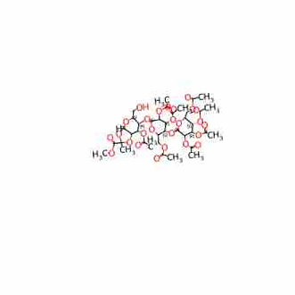 COC(=O)C1(C)OC2C(OC(C)=O)[C@H](O[C@@H]3OC(COC(C)=O)[C@H](O[C@H]4OC(COC(C)=O)[C@H](OC(C)=O)[C@@H](OC(C)=O)C4OC(C)=O)[C@@H](OC(C)=O)C3OC(C)=O)[C@H](CO)O[C@@H]2O1